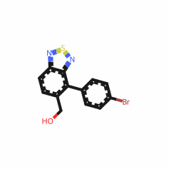 OCc1ccc2nsnc2c1-c1ccc(Br)cc1